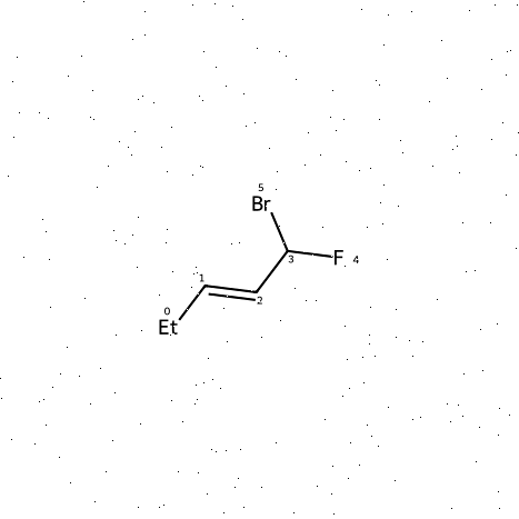 CCC=CC(F)Br